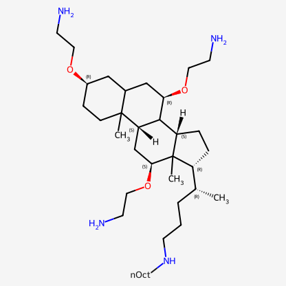 CCCCCCCCNCCC[C@@H](C)[C@H]1CC[C@H]2C3[C@H](OCCN)CC4C[C@H](OCCN)CCC4(C)[C@H]3C[C@H](OCCN)C12C